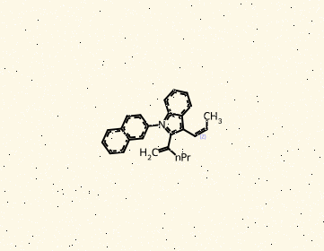 C=C(CCC)c1c(/C=C\C)c2ccccc2n1-c1ccc2ccccc2c1